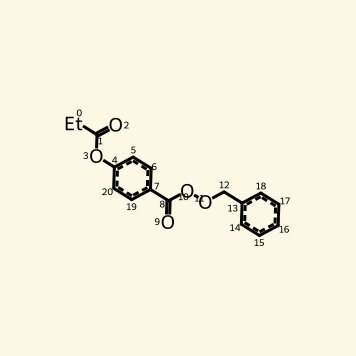 CCC(=O)Oc1ccc(C(=O)OOCc2ccccc2)cc1